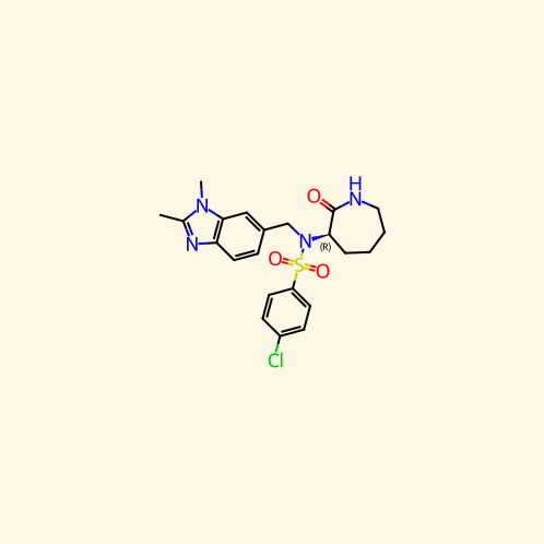 Cc1nc2ccc(CN([C@@H]3CCCCNC3=O)S(=O)(=O)c3ccc(Cl)cc3)cc2n1C